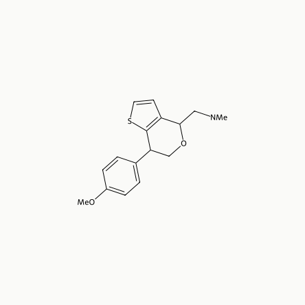 CNCC1OCC(c2ccc(OC)cc2)c2sccc21